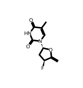 C=C1O[C@@H](n2cc(C)c(=O)[nH]c2=O)C[C@@H]1F